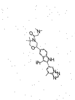 Cc1cc(-c2[nH]c3ccc(C4CN(C(=O)CN(C)C)C(C)(C)CO4)cc3c2C(C)C)cn2ncnc12